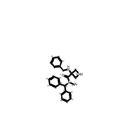 CC(C)N(C(=O)C1(NCc2ccccc2)CNC1)C(c1ccccc1)c1ccccc1